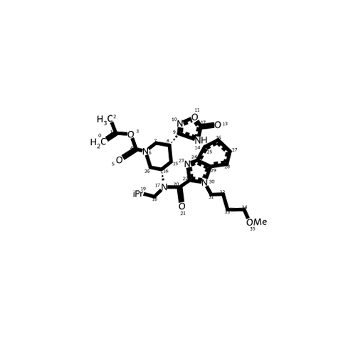 C=C(C)OC(=O)N1C[C@H](c2noc(=O)[nH]2)C[C@H](N(CC(C)C)C(=O)c2nc3ccccc3n2CCCCOC)C1